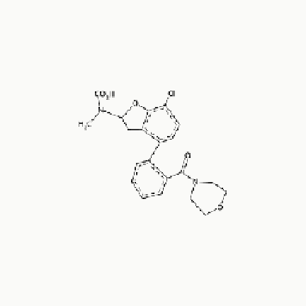 CN(C(=O)O)C1Cc2c(-c3ccccc3C(=O)N3CCOCC3)ccc(Cl)c2O1